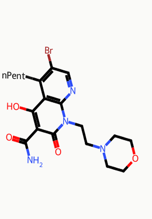 CCCCCc1c(Br)cnc2c1c(O)c(C(N)=O)c(=O)n2CCN1CCOCC1